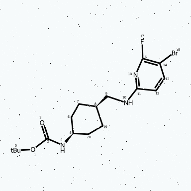 CC(C)(C)OC(=O)N[C@H]1CC[C@@H](CNc2ccc(Br)c(F)n2)CC1